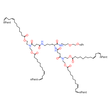 CCCCC/C=C\C/C=C\CCCCCCCC(=O)OCCN(CCOC(=O)CCCCCCC/C=C\C/C=C\CCCCC)C(=O)CCC(=O)NCCCC[C@H](NC(=O)CCC(=O)N(CCOC(=O)CCCCCCC/C=C\C/C=C\CCCCC)CCOC(=O)CCCCCCC/C=C\C/C=C\CCCCC)C(=O)NCCCOCCOCCC